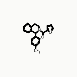 O=C(c1ccco1)N1CCc2ccccc2C1c1ccc(C(F)(F)F)cc1